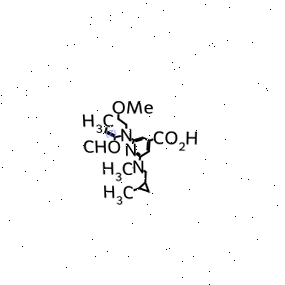 C/C=C(/C=O)N(CCOC)c1cc(C(=O)O)cc(N(C)CC2CC2C)n1